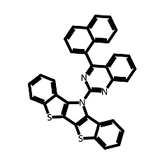 c1ccc2c(-c3nc(-n4c5c6ccccc6sc5c5sc6ccccc6c54)nc4ccccc34)cccc2c1